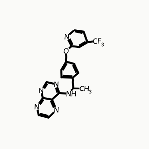 CC(Nc1ncnc2nccnc12)c1ccc(Oc2cc(C(F)(F)F)ccn2)cc1